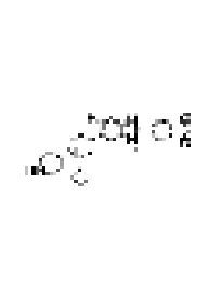 Cn1c(-c2ccc(S(C)(=O)=O)cc2)nc2cc(F)c(C3CCN(C4CCNCC4)[C@@H](C4CCC4)C3)cc21